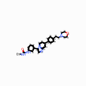 CCNC(=O)Nc1cccc(-c2cnc3cc(-c4ccc(CCN5CCOCC5)cc4)ccn23)c1